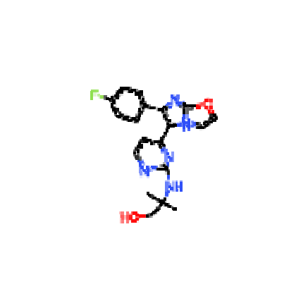 CC(C)(CO)Nc1nccc(-c2c(-c3ccc(F)cc3)nc3occn23)n1